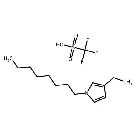 CCCCCCCCn1ccc(CC)c1.O=S(=O)(O)C(F)(F)F